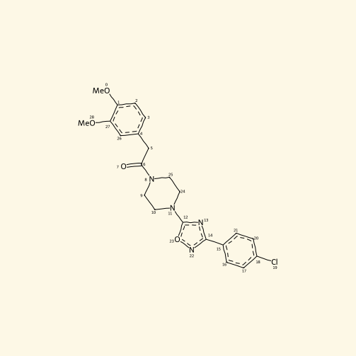 COc1ccc(CC(=O)N2CCN(c3nc(-c4ccc(Cl)cc4)no3)CC2)cc1OC